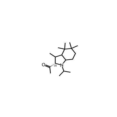 CC(=O)[C@@H]1C(C)C2C(CCC(C)(C)C2(C)C)N1C(C)C